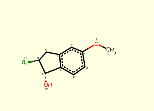 COc1ccc2c(c1)C[C@H](Br)[C@H]2O